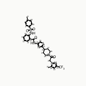 Cc1ccc(S(=O)(=O)Nc2ccccc2C(=O)Nc2csc(C3CCN(C(=O)Cn4nc(C(F)(F)F)cc4C)CC3)n2)cc1